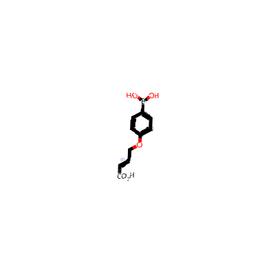 O=C(O)/C=C/COc1ccc(B(O)O)cc1